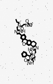 CCCN(Cc1nc2c([nH]1)-c1cc3c(cc1CC2)-c1ccc(-c2cnc(CN(C(=O)CNC(=O)OC)[C@@H](C)CC)[nH]2)cc1CO3)C(=O)[C@H](NC(=O)NC)c1ccccc1